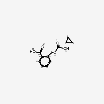 C1CC1.O=C(O)OCc1ccccc1C(=O)O